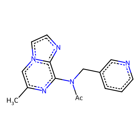 CC(=O)N(Cc1cccnc1)c1nc(C)cn2ccnc12